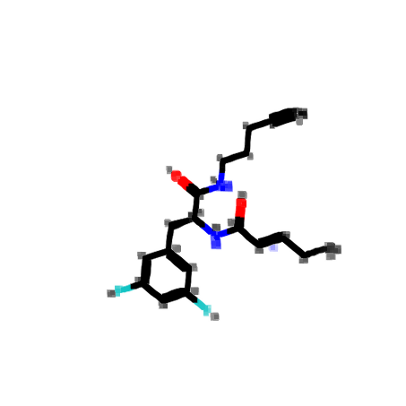 C#CCCCNC(=O)[C@H](Cc1cc(F)cc(F)c1)NC(=O)/C=C/CC(C)CC